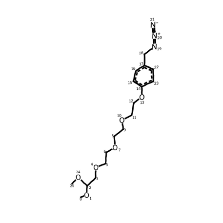 COC(COCCOCCOCCOc1ccc(CN=[N+]=[N-])cc1)OC